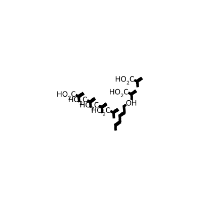 C/C=C/C=C/CO.C=C(C)C(=O)O.C=C(C)C(=O)O.C=C(C)C(=O)O.C=C(C)C(=O)O.C=C(C)C(=O)O.C=C(C)C(=O)O